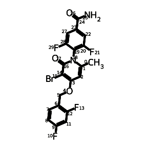 Cc1cc(OCc2ccc(F)cc2F)c(Br)c(=O)n1-c1c(F)cc(C(N)=O)cc1F